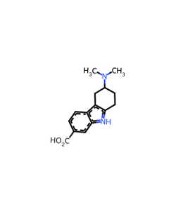 CN(C)C1CCc2[nH]c3cc(C(=O)O)ccc3c2C1